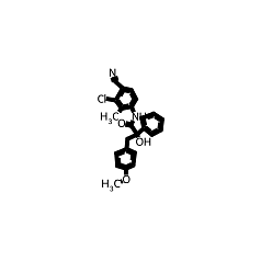 COc1ccc(CC(O)(C(=O)Nc2ccc(C#N)c(Cl)c2C)c2ccccc2)cc1